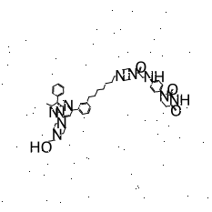 Cc1nn2c(N3CCN(CCO)CC3)cc(-c3cccc(CCCCCCCN4CCN(C(=O)CNc5ccc(N6CCC(=O)NC6=O)cc5)CC4)c3)nc2c1-c1ccccc1